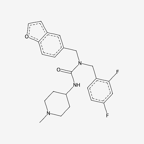 CN1CCC(NC(=O)N(Cc2ccc3occc3c2)Cc2ccc(F)cc2F)CC1